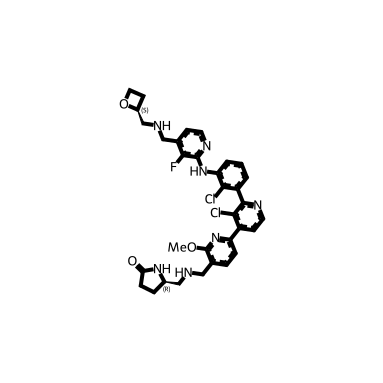 COc1nc(-c2ccnc(-c3cccc(Nc4nccc(CNC[C@@H]5CCO5)c4F)c3Cl)c2Cl)ccc1CNC[C@H]1CCC(=O)N1